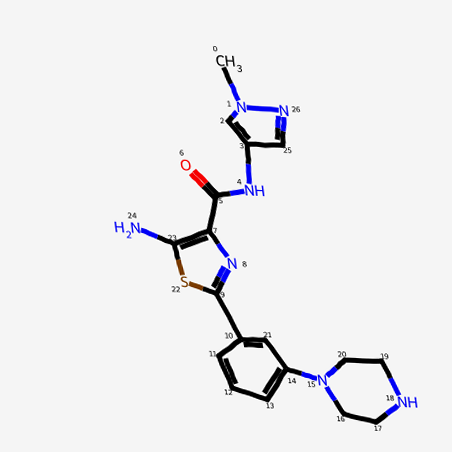 Cn1cc(NC(=O)c2nc(-c3cccc(N4CCNCC4)c3)sc2N)cn1